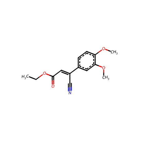 CCOC(=O)C=C(C#N)c1ccc(OC)c(OC)c1